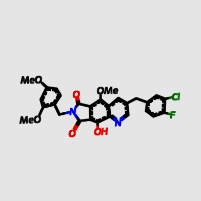 COc1ccc(CN2C(=O)c3c(c(O)c4ncc(Cc5ccc(F)c(Cl)c5)cc4c3OC)C2=O)c(OC)c1